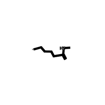 [CH2]CCCCC(=C)NC